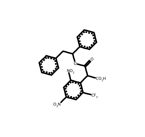 O=C(O)C(C(=O)OC(Cc1ccccc1)c1ccccc1)c1c([N+](=O)[O-])cc([N+](=O)[O-])cc1C(F)(F)F